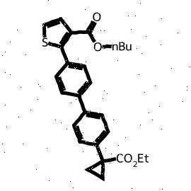 CCCCOC(=O)c1ccsc1-c1ccc(-c2ccc(C3(C(=O)OCC)CC3)cc2)cc1